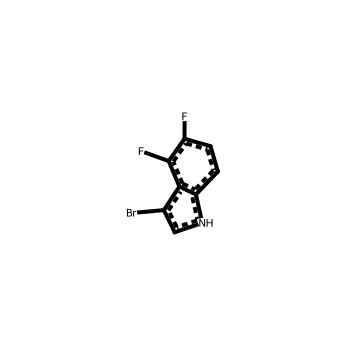 Fc1ccc2[nH]cc(Br)c2c1F